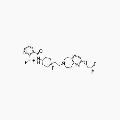 O=C(NC1CCC(F)(CCN2CCc3ccc(OCC(F)F)nc3CC2)CC1)c1cccnc1C(F)F